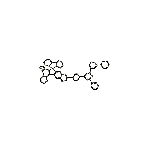 c1ccc(-c2cccc(-c3cc(-c4ccc(-c5ccc6cc7c(cc6c5)C5(c6ccccc6-c6ccccc65)c5c-7c6ccccc6c6ccccc56)cc4)nc(-c4ccccc4)n3)c2)cc1